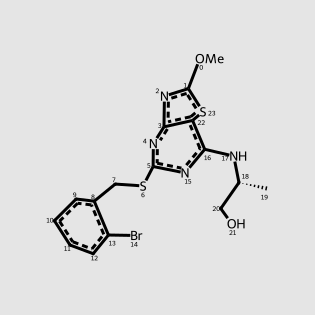 COc1nc2nc(SCc3ccccc3Br)nc(N[C@H](C)CO)c2s1